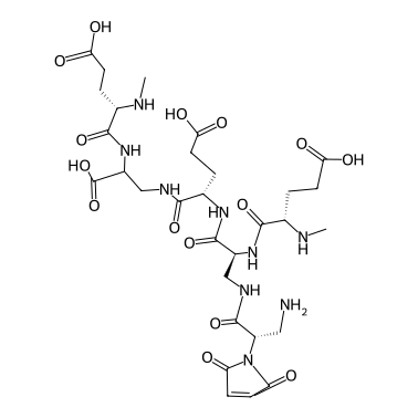 CN[C@@H](CCC(=O)O)C(=O)NC(CNC(=O)[C@H](CCC(=O)O)NC(=O)[C@H](CNC(=O)[C@H](CN)N1C(=O)C=CC1=O)NC(=O)[C@H](CCC(=O)O)NC)C(=O)O